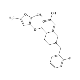 Cc1cc(SSC2CCN(Cc3ccccc3F)C/C2=C/C(=O)O)c(C)o1